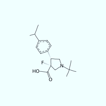 CC(C)c1ccc([C@@H]2CN(C(C)(C)C)C[C@@]2(F)C(=O)O)cc1